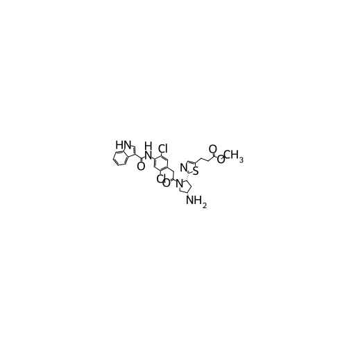 COC(=O)CCc1cnc([C@@H]2C[C@H](N)CN2C(=O)Cc2cc(Cl)c(NC(=O)c3c[nH]c4ccccc34)cc2Cl)s1